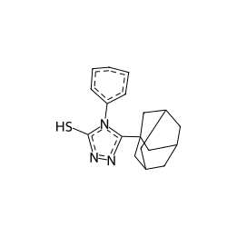 Sc1nnc(C23CC4CC(CC(C4)C2)C3)n1-c1ccccc1